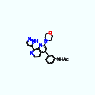 CC(=O)Nc1cccc(-c2cc(N3CCOCC3)nc3c(-c4ccn[nH]4)nccc23)c1